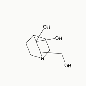 OCC1N2CCC(CC2)C1(O)O